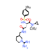 CC(=O)ON(C(=O)[C@H](CC(=O)NCC1CCCN(C(=N)N)C1)NS(=O)(=O)c1ccc(C(C)(C)C)cc1)C1CC1